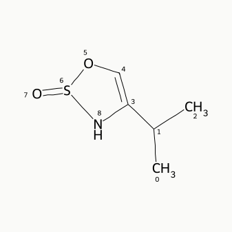 CC(C)C1=COS(=O)N1